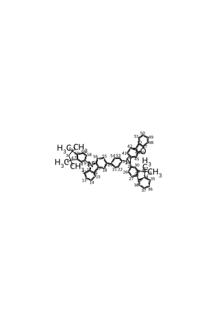 CC1(C)CC(C)(C)c2cc(-n3c4ccccc4c4cc(-c5ccc(N(c6ccc7c(c6)C(C)(C)c6ccccc6-7)c6ccc7c(c6)oc6ccccc67)cc5)ccc43)ccc21